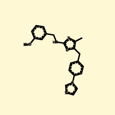 COc1cccc(CNc2nc(C)c(Cc3ccc(-n4ccnc4)cc3)o2)c1